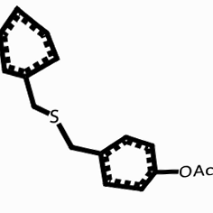 CC(=O)Oc1ccc(CSCc2ccccc2)cc1